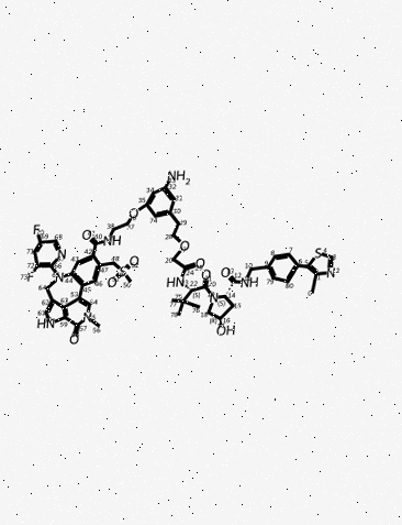 Cc1ncsc1-c1ccc(CNC(=O)[C@@H]2C[C@@H](O)CN2C(=O)[C@@H](NC(=O)COCCc2cc(N)cc(OCCNC(=O)c3cc4c(cc3CS(C)(=O)=O)-c3cn(C)c(=O)c5[nH]cc(c35)CN4c3ncc(F)cc3F)c2)C(C)(C)C)cc1